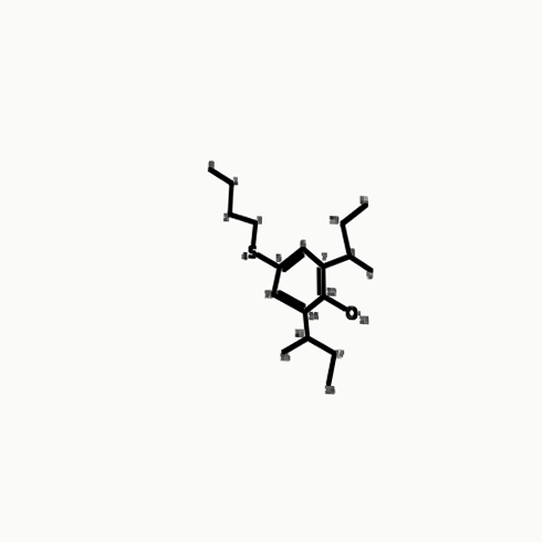 CCCCSc1cc(C(C)CC)c([O])c(C(C)CC)c1